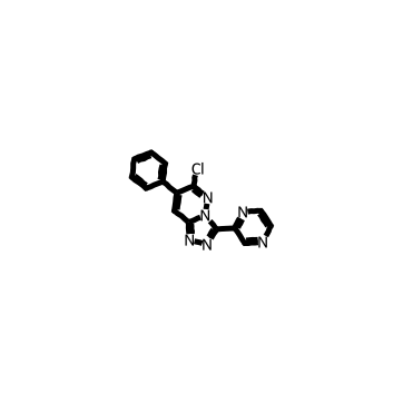 Clc1nn2c(-c3cnccn3)nnc2cc1-c1ccccc1